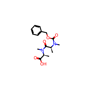 C[C@@H](C(=O)N(C)[C@@H](C)C(=O)O)N(C)C(=O)OCc1ccccc1